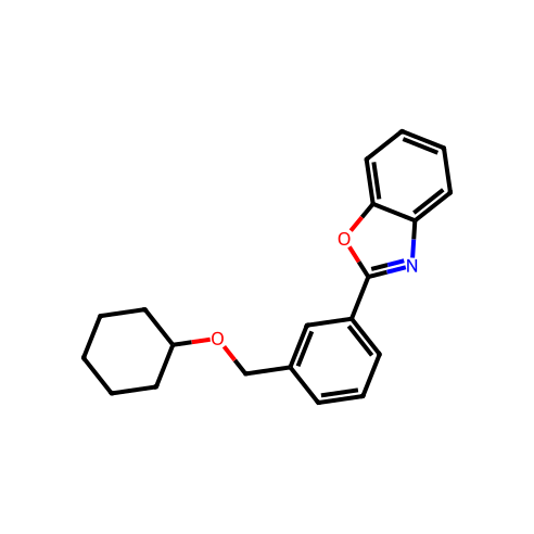 c1cc(COC2CCCCC2)cc(-c2nc3ccccc3o2)c1